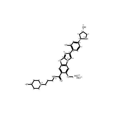 COc1cc2c(cc1C(=O)NCCCN1CCC(F)CC1)sc1nc(-c3ccc([C@H]4C[C@H](O)CN4)cc3F)cn12.Cl.Cl